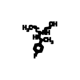 CC=C=C(NCCO)NC(C)c1ccc(F)cc1